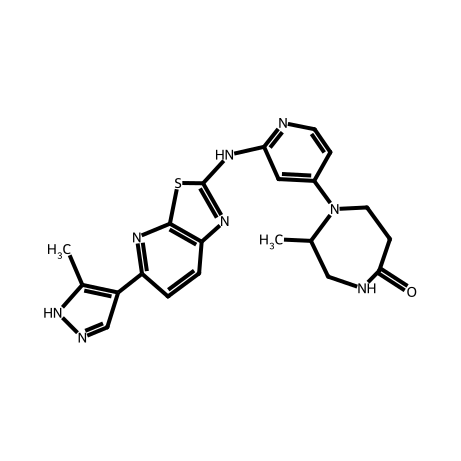 Cc1[nH]ncc1-c1ccc2nc(Nc3cc(N4CCC(=O)NCC4C)ccn3)sc2n1